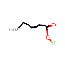 CCCCCCCC(=O)OF